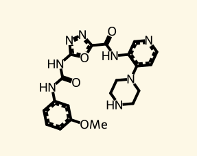 COc1cccc(NC(=O)Nc2nnc(C(=O)Nc3cnccc3N3CCNCC3)o2)c1